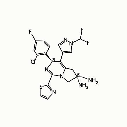 NC[C@]1(N)CC2=C(c3cnn(C(F)F)c3)[C@H](c3ccc(F)cc3Cl)N=C(c3nccs3)N2C1